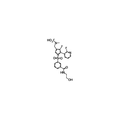 CN(Cc1cn(S(=O)(=O)c2cccc(C(=O)NCCO)c2)c(-c2cccnc2F)c1F)C(=O)O